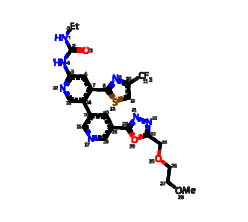 CCNC(=O)Nc1cc(-c2nc(C(F)(F)F)cs2)c(-c2cncc(-c3nnc(COCCOC)o3)c2)cn1